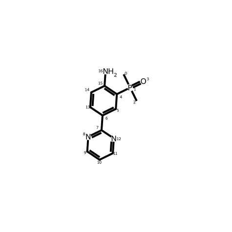 CP(C)(=O)c1cc(-c2ncccn2)ccc1N